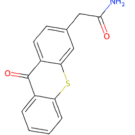 NC(=O)Cc1ccc2c(=O)c3ccccc3sc2c1